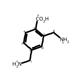 NCc1ccc(C(=O)O)c(CN)c1